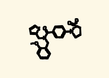 COc1ccccc1CN(Cc1cccs1)C(=O)c1ccc(N2CCCS2(=O)=O)cc1